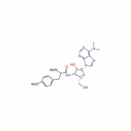 CNC(Cc1ccc(OC)cc1)C(=O)NC1C(O)[C@H](n2cnc3c(N(C)C)ncnc32)O[C@@H]1CO